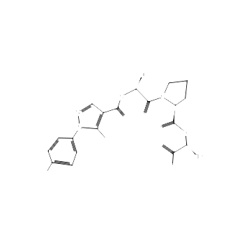 Cc1c(C(=O)N[C@H](C(=O)N2CCC[C@H]2C(=O)N[C@H](C(=O)C(F)(F)F)C(C)C)C(C)C)cnn1-c1ccc(F)cc1